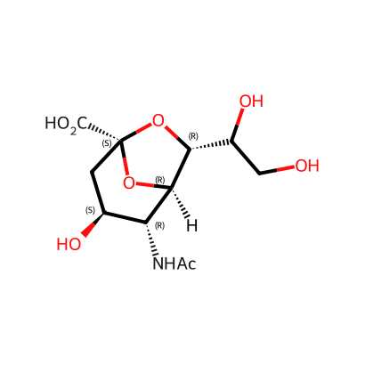 CC(=O)N[C@H]1[C@H]2O[C@@](C(=O)O)(C[C@@H]1O)O[C@@H]2C(O)CO